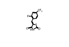 O=C1NC(=O)/C(=C/c2ccc(C(F)(F)F)cc2F)S1